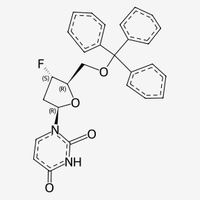 O=c1ccn([C@H]2C[C@H](F)[C@@H](COC(c3ccccc3)(c3ccccc3)c3ccccc3)O2)c(=O)[nH]1